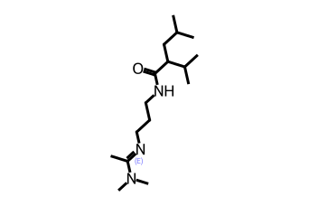 C/C(=N\CCCNC(=O)C(CC(C)C)C(C)C)N(C)C